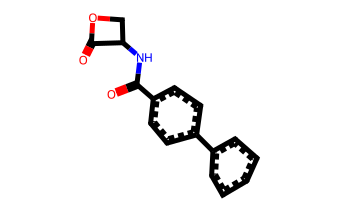 O=C(NC1COC1=O)c1ccc(-c2ccccc2)cc1